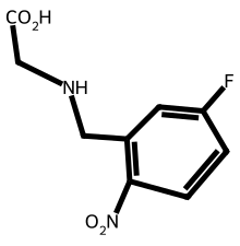 O=C(O)CNCc1cc(F)ccc1[N+](=O)[O-]